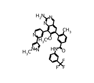 COc1c(-c2cc(C(=O)Nc3cccc(C(F)(F)F)c3)ccc2C)cc2cnc(N)nc2c1-c1ccnc(-c2cnn(C)c2)c1